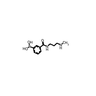 CNCCCNC(=O)c1cccc(B(O)O)c1